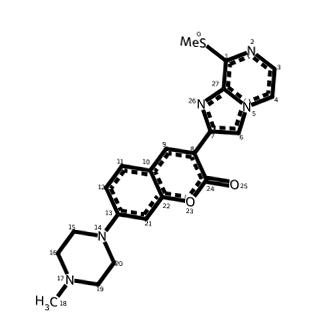 CSc1nccn2cc(-c3cc4ccc(N5CCN(C)CC5)cc4oc3=O)nc12